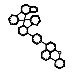 c1ccc2c(c1)Oc1ccc(-c3ccc(-c4cccc5c4-c4ccccc4C54c5ccccc5-c5ccc6ccccc6c54)cc3)c3cccc-2c13